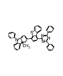 C[C@]12CC(c3ccc(-c4nc(-c5ccccc5)nc(-c5ccccc5)n4)c4c3sc3ccccc34)=CC=C1N(c1ccccc1)c1ccccc12